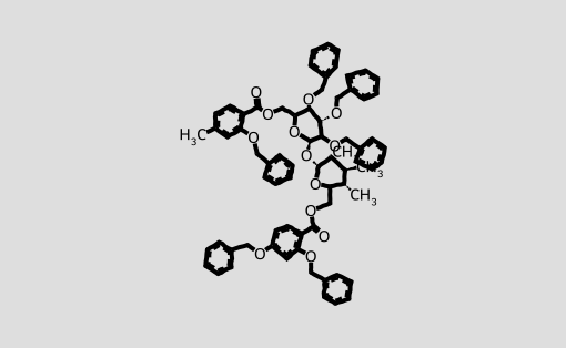 Cc1ccc(C(=O)OCC2O[C@H](O[C@H]3OC(COC(=O)c4ccc(OCc5ccccc5)cc4OCc4ccccc4)[C@@H](C)[C@H](C)C3C)C(OCc3ccccc3)[C@@H](OCc3ccccc3)[C@@H]2OCc2ccccc2)c(OCc2ccccc2)c1